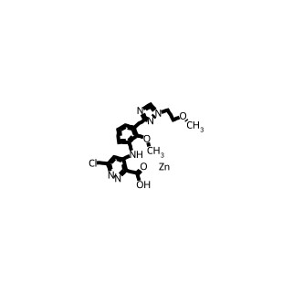 COCCn1cnc(-c2cccc(Nc3cc(Cl)nnc3C(=O)O)c2OC)n1.[Zn]